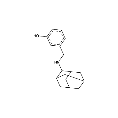 Oc1cccc(CNC2C3CC4CC(C3)CC2C4)c1